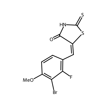 COc1ccc(/C=C2/SC(=S)NC2=O)c(F)c1Br